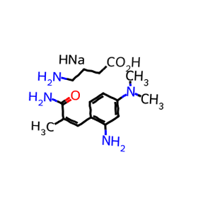 CC(=Cc1ccc(N(C)C)cc1N)C(N)=O.NCCCC(=O)O.[NaH]